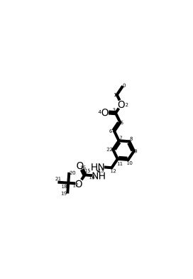 CCOC(=O)C=Cc1cccc(CNNC(=O)OC(C)(C)C)c1